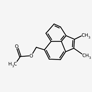 CC(=O)OCc1ccc2c3c(cccc13)C(C)=C2C